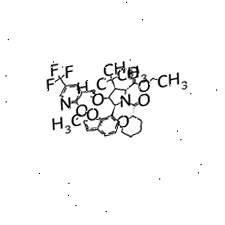 CCOC(=O)[C@@H]1[C@H](C(C)(C)C)[C@H](OCc2cc(C(F)(F)F)cnc2OC)[C@H](c2cccc3ccoc23)N1C(=O)[C@@H]1CCCCO1